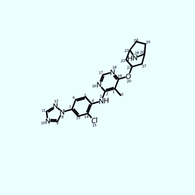 Cc1c(Nc2ccc(-n3cncn3)cc2Cl)ncnc1OC1CC2CCC(C1)N2